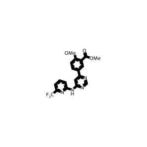 COC(=O)c1cc(-c2cc(Nc3cccc(C(F)(F)F)n3)ncn2)ccc1OC